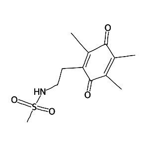 CC1=C(C)C(=O)C(CCNS(C)(=O)=O)=C(C)C1=O